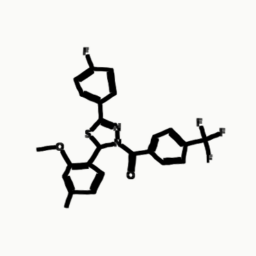 COc1cc(C)ccc1C1SC(c2ccc(F)cc2)=NN1C(=O)c1ccc(C(F)(F)F)cc1